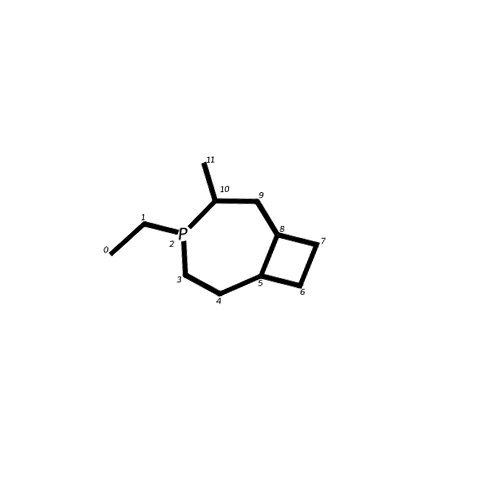 CCP1CCC2CCC2CC1C